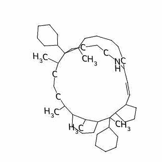 CC1CCCC(C)C2(C3CCCCC3)CCCCNC(C=CC3CCCC3C(C)(C3CCCCC3)C3CCCC1C3C)CCCCCC2C